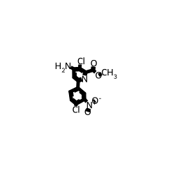 COC(=O)c1nc(-c2ccc(Cl)c([N+](=O)[O-])c2)cc(N)c1Cl